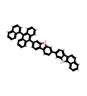 c1ccc2c(-c3c4ccccc4c(-c4ccc5c(c4)oc4cc(-c6ccc7c(c6)sc6c8ccccc8ccc76)ccc45)c4ccccc34)cccc2c1